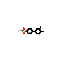 Cc1[c]cc(-c2ccc(S(=O)(=O)C(C)C)cc2)cc1C